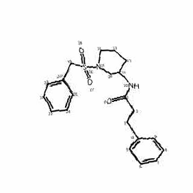 O=C(CCc1ccccc1)NC1CCCN(S(=O)(=O)Cc2ccccc2)C1